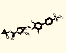 CC1(OC(=O)N2CC3[C@H](COc4c(F)cc(-c5ccc(S(C)(=O)=O)cc5)cc4F)[C@@]3(C)C2)CC1